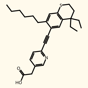 CCCCCCc1cc2c(cc1C#Cc1ccc(CC(=O)O)cn1)C(CC)(CC)CCS2